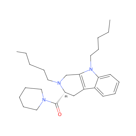 CCCCCN1Cc2c(c3ccccc3n2CCCCC)C[C@@H]1C(=O)N1CCCCC1